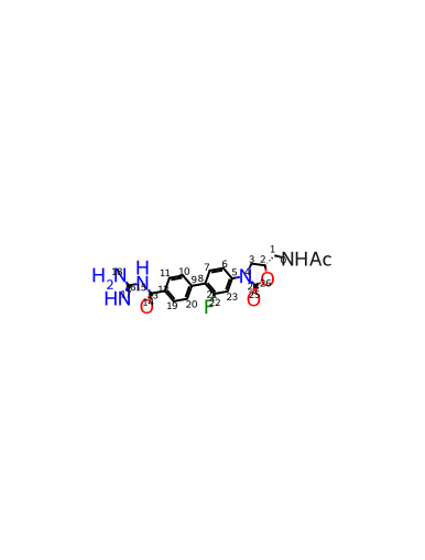 CC(=O)NC[C@H]1CN(c2ccc(-c3ccc(C(=O)NC(=N)N)cc3)c(F)c2)C(=O)O1